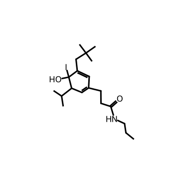 CCCNC(=O)CCC1=CC(C(C)C)C(O)(I)C(CC(C)(C)C)=C1